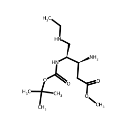 CCNC[C@H](NC(=O)OC(C)(C)C)[C@@H](N)CC(=O)OC